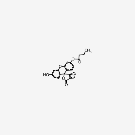 CCCC(=O)Oc1ccc2c(c1)Oc1cc(O)ccc1C21OC(=O)c2ccccc21